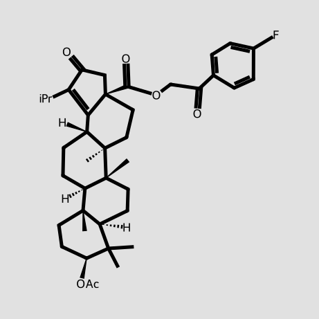 CC(=O)O[C@H]1CC[C@]2(C)[C@H]3CC[C@@H]4C5=C(C(C)C)C(=O)C[C@]5(C(=O)OCC(=O)c5ccc(F)cc5)CC[C@@]4(C)[C@]3(C)CC[C@H]2C1(C)C